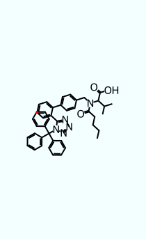 CCCCC(=O)N(Cc1ccc(-c2ccccc2-c2nnnn2C(c2ccccc2)(c2ccccc2)c2ccccc2)cc1)C(C(=O)O)C(C)C